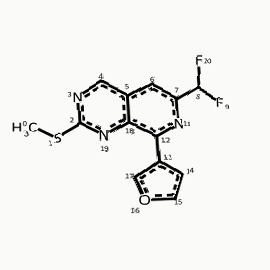 CSc1ncc2cc(C(F)F)nc(-c3ccoc3)c2n1